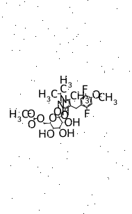 COC(=O)OC[C@H]1O[C@@](O)(Oc2nn(C(C)C)c(C)c2Cc2cc(F)c(OC)cc2F)[C@H](O)[C@@H](O)[C@@H]1O